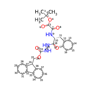 CC(C)(C)OC(=O)C(=O)N[C@H](Cc1ccccc1)C(=O)NNC(=O)OCC1c2ccccc2-c2ccccc21